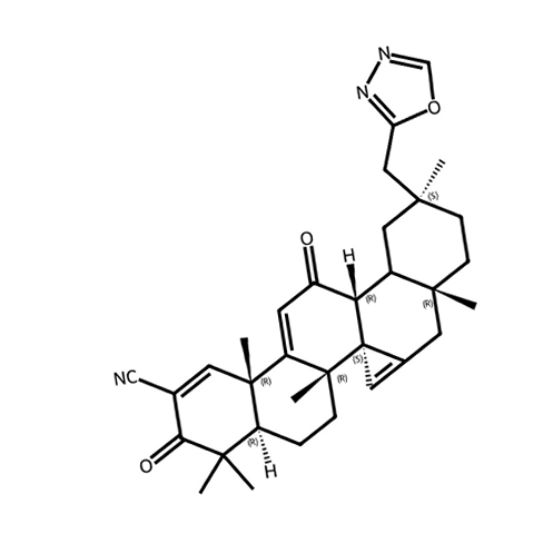 CC1(C)C(=O)C(C#N)=C[C@]2(C)C3=CC(=O)[C@@H]4C5C[C@@](C)(Cc6nnco6)CC[C@]5(C)CC5=C[C@@]54[C@]3(C)CC[C@@H]12